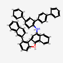 c1ccc(-c2ccc(-c3cc(-c4ccccc4)ccc3Nc3cc4c(oc5cccc(-c6ccc7ccccc7c6)c54)c4ccccc34)cc2)cc1